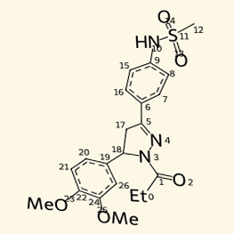 CCC(=O)N1N=C(c2ccc(NS(C)(=O)=O)cc2)CC1c1ccc(OC)c(OC)c1